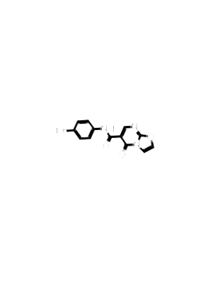 CCc1ccc(NC(=O)c2cnc3occn3c2=O)cc1